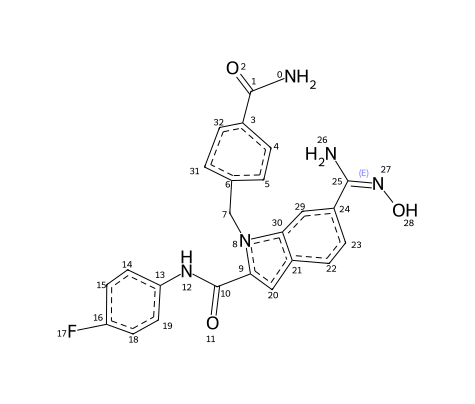 NC(=O)c1ccc(Cn2c(C(=O)Nc3ccc(F)cc3)cc3ccc(/C(N)=N\O)cc32)cc1